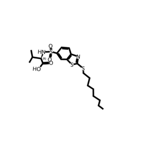 CCCCCCCCSc1nc2ccc(S(=O)(=O)N[C@@H](C(=O)O)C(C)C)cc2s1